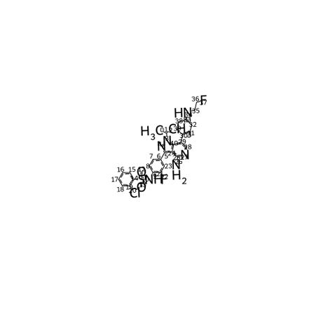 CC(C)n1nc(-c2ccc(NS(=O)(=O)c3ccccc3Cl)c(F)c2)c2c(N)ncc(C3=CC[C@@H](NCCF)CC3)c21